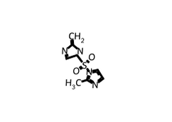 C=C1N=CC(S(=O)(=O)n2ccnc2C)=N1